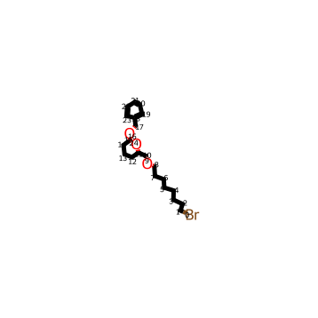 BrCCCCCCCCOCC1CCCC(OCc2ccccc2)O1